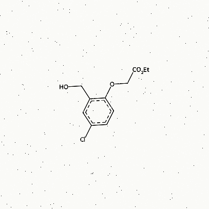 CCOC(=O)COc1ccc(Cl)cc1CO